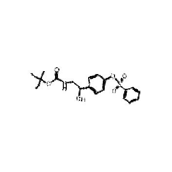 CC(C)(C)OC(=O)NCC(O)c1ccc(OS(=O)(=O)c2ccccc2)cc1